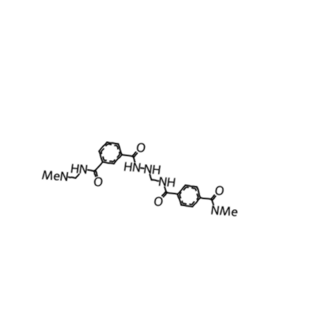 CNCNC(=O)c1cccc(C(=O)NNCNC(=O)c2ccc(C(=O)NC)cc2)c1